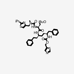 CC(C)COC[C@H](NC(=O)N(C)Cc1csc(C(C)C)n1)C(=O)N[C@H](CCc1ccccc1)CC[C@@H](Cc1ccccc1)NC(=O)OCc1cncs1